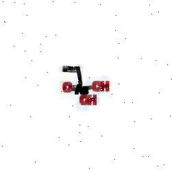 C=C[As](=O)(O)O